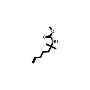 C=CCCCC(C)(C)NC(=O)OC